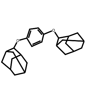 c1cc(OC2C3CC4CC(C3)CC2C4)ccc1OC1C2CC3CC(C2)CC1C3